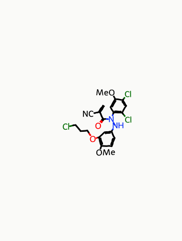 C=C(C#N)C(=O)N(Nc1ccc(OC)c(OCCCCl)c1)c1cc(OC)c(Cl)cc1Cl